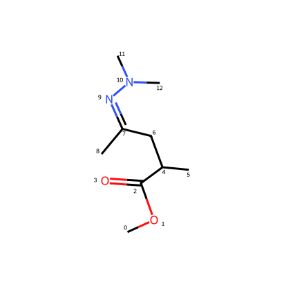 COC(=O)C(C)C/C(C)=N\N(C)C